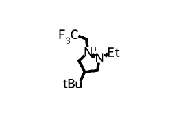 CC[N+]1=[N+](CC(F)(F)F)CC(C(C)(C)C)C1